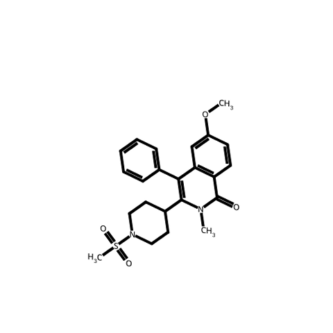 COc1ccc2c(=O)n(C)c(C3CCN(S(C)(=O)=O)CC3)c(-c3ccccc3)c2c1